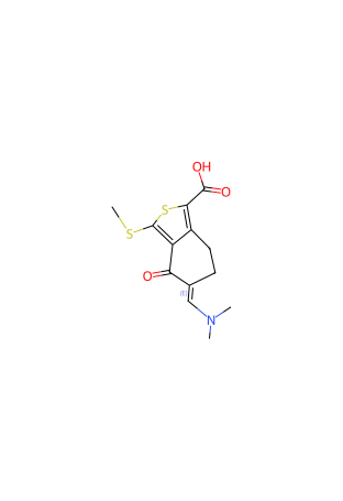 CSc1sc(C(=O)O)c2c1C(=O)/C(=C/N(C)C)CC2